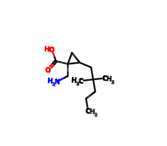 CCCC(C)(C)CC1CC1(CN)C(=O)O